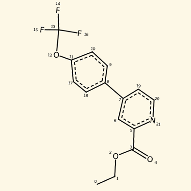 CCOC(=O)c1cc(-c2ccc(OC(F)(F)F)cc2)ccn1